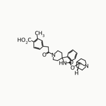 Cc1cc(CC(=O)N2CCC(NC(=O)O[C@H]3CN4CCC3CC4)(c3ccccc3)CC2)ccc1C(=O)O